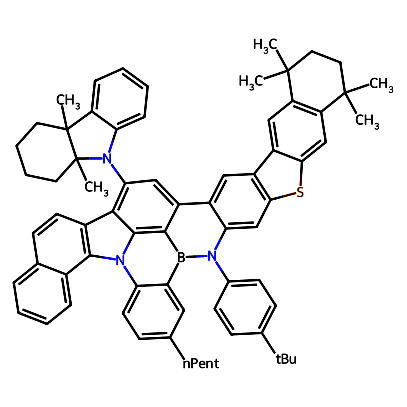 CCCCCc1ccc2c(c1)B1c3c(cc(N4c5ccccc5C5(C)CCCCC45C)c4c5ccc6ccccc6c5n-2c34)-c2cc3c(cc2N1c1ccc(C(C)(C)C)cc1)sc1cc2c(cc13)C(C)(C)CCC2(C)C